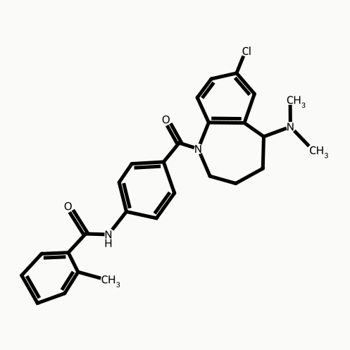 Cc1ccccc1C(=O)Nc1ccc(C(=O)N2CCCC(N(C)C)c3cc(Cl)ccc32)cc1